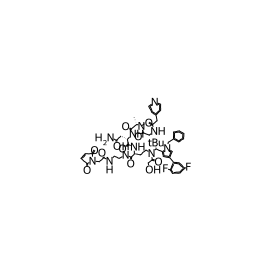 C[C@@H](C(=O)N[C@@H](CC(N)=O)C(=O)N[C@@H](CCN(C(=O)CO)[C@@H](c1cc(-c2cc(F)ccc2F)cn1Cc1ccccc1)C(C)(C)C)C(=O)NCCNC(=O)CN1C(=O)C=CC1=O)N(C)C(=O)CNC(=O)Cc1ccncc1